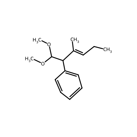 CCC=C(C)C(c1ccccc1)C(OC)OC